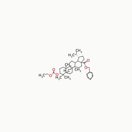 CCOC(=O)O[C@@H]1CC[C@@]2(C)C(CC[C@]3(C)C2CCC2C4[C@H](C(C)C)CC[C@]4(C(=O)OCc4ccccc4)CC[C@]23C)C1(C)C